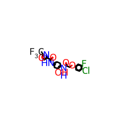 O=C(COc1ccc(Cl)c(F)c1)NC12CCC(NC(=O)c3coc(C(F)(F)F)n3)(CC1)CC2O